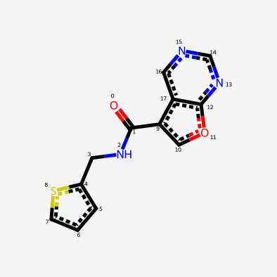 O=C(NCc1cccs1)c1coc2ncncc12